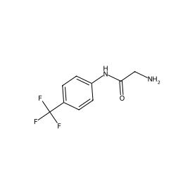 NCC(=O)Nc1ccc(C(F)(F)F)cc1